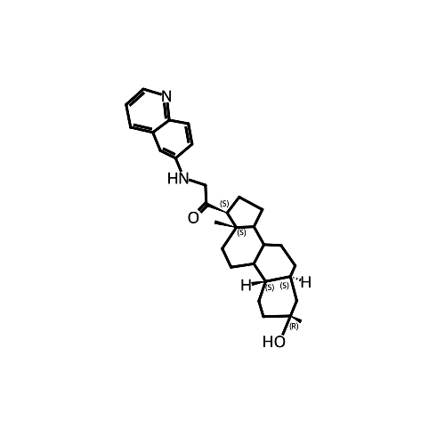 C[C@@]1(O)CC[C@@H]2C3CC[C@@]4(C)C(CC[C@@H]4C(=O)CNc4ccc5ncccc5c4)C3CC[C@H]2C1